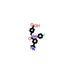 Cn1cc(-c2ccc(Oc3ccc(F)cc3)c(C(=O)NCc3ccc(C(=O)O)cc3)c2)cn1